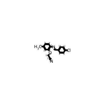 Cc1ccc(/N=C/c2ccc(Cl)cc2)c(OCC#N)c1